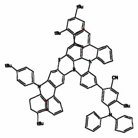 CC(C)(C)C1=CC=C(N(c2ccc(C(C)(C)C)cc2)c2cc3c(cc2-c2c#cccc2)B2c4ccc(-c5cc(N(c6ccccc6)c6ccccc6)c(C(C)(C)C)cc5C#N)cc4N(c4ccccc4-c4ccccc4)c4cc(-c5ccc(C(C)(C)C)cc5C(C)(C)C)cc(c42)S3)CC1